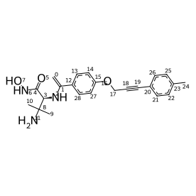 C=C(N[C@H](C(=O)NO)C(C)(C)N)c1ccc(OCC#Cc2ccc(C)cc2)cc1